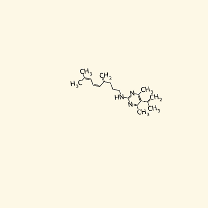 C=C(/C=C\C=C(C)C)CCCNc1nc(C)c(C(=C)C)c(C)n1